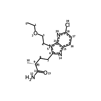 CCOCCn1c(CC[C@@H](C)C(N)=O)nc2ccc(Cl)nc21